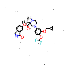 CC(=O)N1CCN(c2ccc(OC(F)F)c(OCC3CC3)c2)CC1(C)C(=O)Oc1ccc2c(c1)C(=O)N=C2